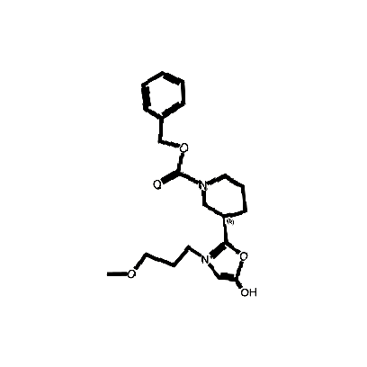 COCCC[n+]1cc(O)oc1[C@@H]1CCCN(C(=O)OCc2ccccc2)C1